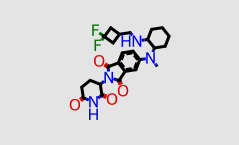 CN(c1ccc2c(c1)C(=O)N(C1CCC(=O)NC1=O)C2=O)C1CCCCC1NCC1CC(F)(F)C1